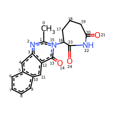 Cc1nc2cc3ccccc3cc2c(=O)n1C1CCCC(=O)NC1=O